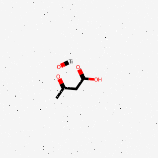 CC(=O)CC(=O)O.[O]=[Ti]